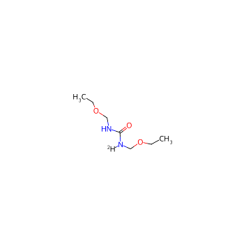 [2H]N(COCC)C(=O)NCOCC